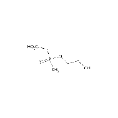 CP(=O)(CC(=O)O)OCCO